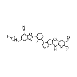 COc1nc(NC2CCc3c(-c4cccc(-c5nc6cc(CN7CC(F)C7)cc(C#N)c6o5)c4C)cccc32)c(Cl)cc1C=O